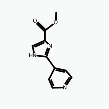 COC(=O)c1c[nH]c(-c2ccncc2)n1